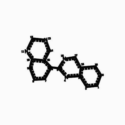 [c]1ccc2nc(-c3cccc4ncncc34)ncc2c1